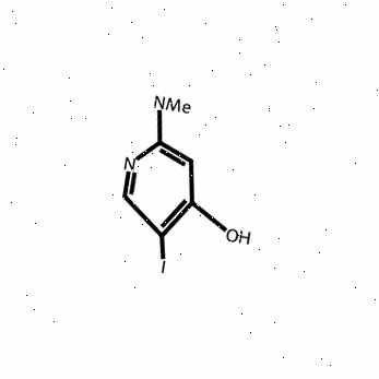 CNc1cc(O)c(I)cn1